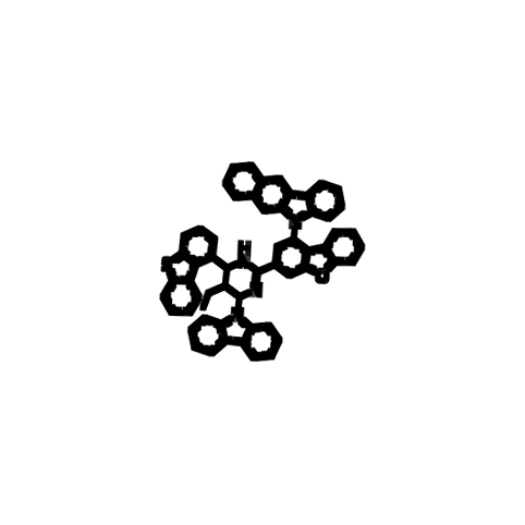 CCC1C(c2cccc3sc4ccccc4c23)NC(c2cc(-n3c4ccccc4c4cc5ccccc5cc43)c3c(c2)oc2ccccc23)=NC1n1c2ccccc2c2ccccc21